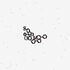 CS(C)(C)c1ccc2c(c1)C1(c3ccccc3Oc3ccccc31)c1cc(N(c3ccc(-c4ccccc4)cc3)c3ccccc3-c3ccccc3)ccc1-2